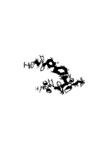 NS(=O)(=O)NCc1nnc(C(c2nc3ccc(-c4cccc(C(=O)NCCO)c4)cc3s2)S(=O)(=O)CCC(F)(F)F)o1